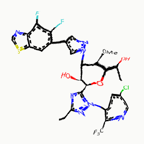 CO[C@H]1C(C(C)O)O[C@@H](c2nc(C)nn2-c2cc(Cl)cnc2C(F)(F)F)[C@@H](O)C1n1cc(-c2cc3scnc3c(F)c2F)cn1